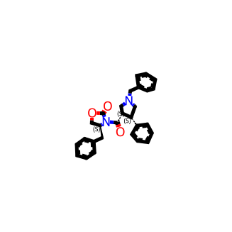 O=C1OC[C@H](Cc2ccccc2)N1C(=O)[C@@H]1CN(Cc2ccccc2)C[C@@H]1c1ccccc1